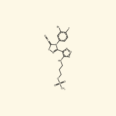 CS(=O)(=O)OCCCNc1nonc1C1=NOC(=C=O)N1c1ccc(F)c(Br)c1